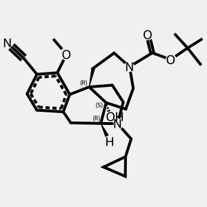 COc1c(C#N)ccc2c1[C@@]13CCN(C(=O)OC(C)(C)C)CC[C@@]1(O)[C@@H](C2)N(CC1CC1)CC3